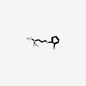 CN(C)CCCOc1ccccc1Cl